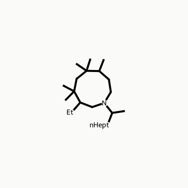 CCCCCCCC(C)N1CCC(C)C(C)(C)CC(C)(C)C(CC)C1